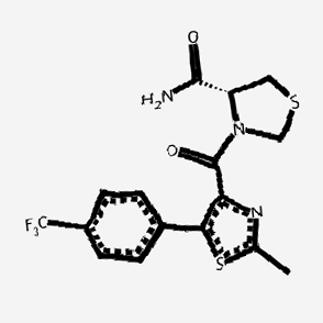 Cc1nc(C(=O)N2CSC[C@H]2C(N)=O)c(-c2ccc(C(F)(F)F)cc2)s1